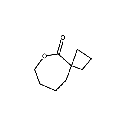 O=C1OCCCCC12CCC2